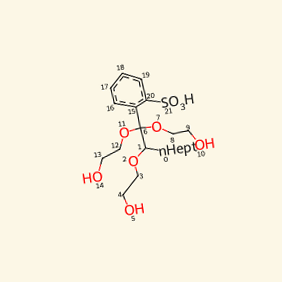 CCCCCCCC(OCCO)C(OCCO)(OCCO)c1ccccc1S(=O)(=O)O